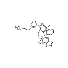 Cc1nc(-c2cccc(CCCO)c2)c2c(n1)[C@@]1(c3ccccc3)Cc3cnoc3[C@@H](C)[C@@H]1CC2